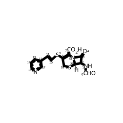 O=CNC1C(=O)N2C(C(=O)O)=C(SC=Cc3cccnc3)CS[C@H]12